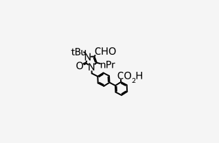 CCCc1c(C=O)n(C(C)(C)C)c(=O)n1Cc1ccc(-c2ccccc2C(=O)O)cc1